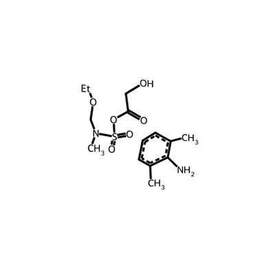 CCOCN(C)S(=O)(=O)OC(=O)CO.Cc1cccc(C)c1N